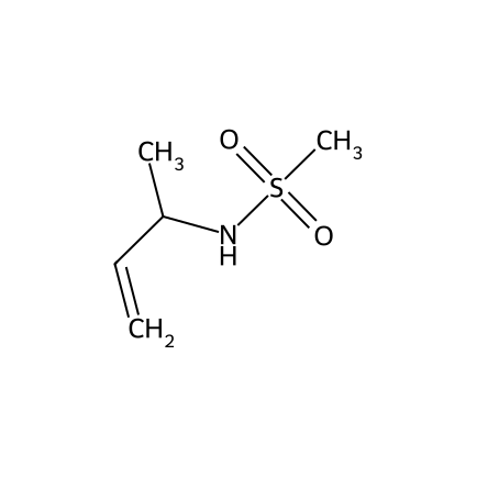 C=CC(C)NS(C)(=O)=O